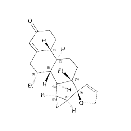 CC[C@@H]1CC2=CC(=O)CC[C@@H]2[C@H]2CC[C@@]3(CC)[C@@H]([C@@H]4C[C@@H]4[C@@]34C=CCO4)[C@H]12